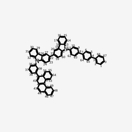 c1ccc(-c2ccc(-c3ccc(-n4c5ccccc5c5cc(-c6ccc7c(c6)c6ccccc6n7-c6cccc(-c7cc8ccc9ccccc9c8c8ccccc78)c6)ccc54)cc3)cc2)cc1